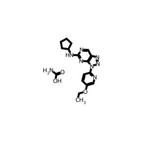 CCOc1ccc(-n2nnc3cnc(NC4CCCC4)nc32)nc1.NC(=O)O